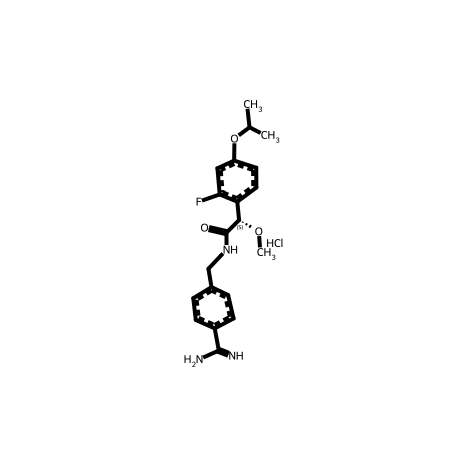 CO[C@H](C(=O)NCc1ccc(C(=N)N)cc1)c1ccc(OC(C)C)cc1F.Cl